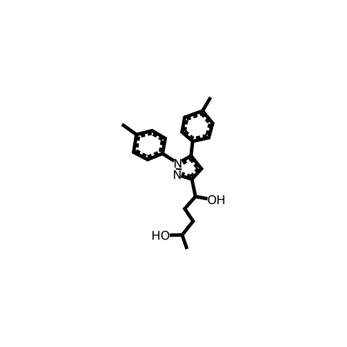 Cc1ccc(-c2cc(C(O)CCC(C)O)nn2-c2ccc(C)cc2)cc1